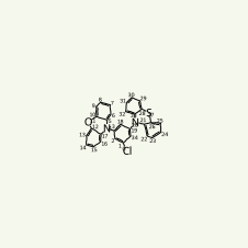 Clc1cc(N2c3ccccc3Oc3ccccc32)cc(N2c3ccccc3Sc3ccccc32)c1